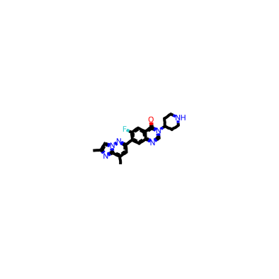 Cc1cn2nc(-c3cc4ncn(C5CCNCC5)c(=O)c4cc3F)cc(C)c2n1